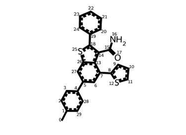 Cc1ccc(-c2cc(-c3cccs3)c3c(C(N)=O)c(-c4ccccc4)sc3c2)cc1